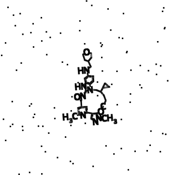 Cc1cc2cc(n1)-c1cnn(C)c1OCCCC(C1CC1)CN1/C(=N/C2=O)Nc2cc(NCC3CCOCC3)ccc21